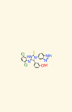 Oc1cccc(C2C(=Nc3cc(Cl)ccc3Cl)NC(=S)N2c2ccc3[nH]cnc3c2)c1